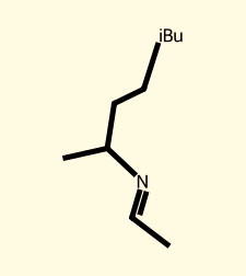 CC=NC(C)CCC(C)CC